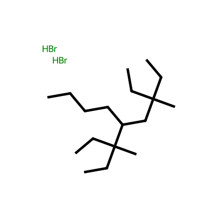 Br.Br.CCCCC(CC(C)(CC)CC)C(C)(CC)CC